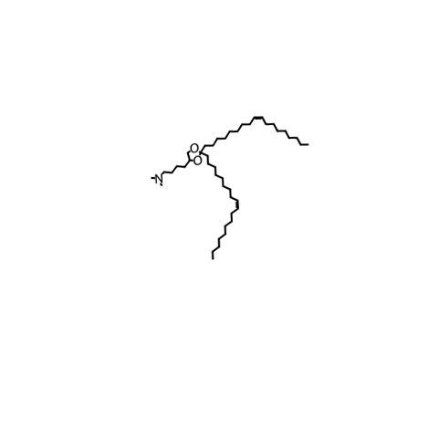 CCCCCCCC/C=C\CCCCCCCCC1(CCCCCCCC/C=C\CCCCCCCC)OCC(CCCCN(C)C)O1